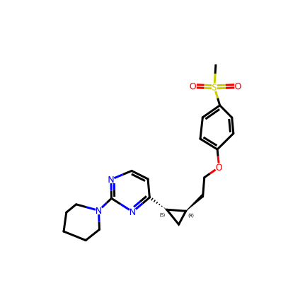 CS(=O)(=O)c1ccc(OCC[C@H]2C[C@@H]2c2ccnc(N3CCCCC3)n2)cc1